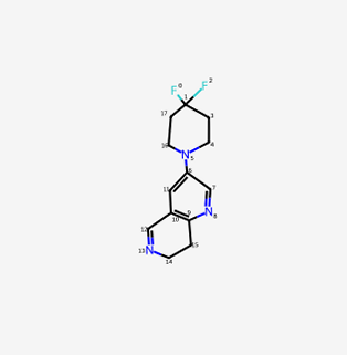 FC1(F)CCN(c2cnc3c(c2)C=NCC3)CC1